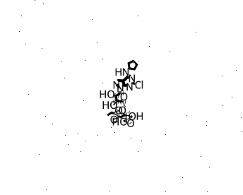 CCS(=O)(=O)C[C@@](C)(OC[C@H]1O[C@@H](n2ncc3c(NC4CCCC4)nc(Cl)nc32)[C@H](O)[C@@H]1O)P(=O)(O)O